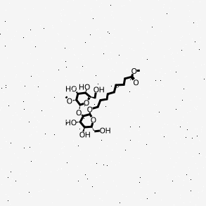 COC(=O)CCCCCCCCO[C@H]1O[C@H](CO)[C@@H](O)[C@H](O)[C@H]1O[C@H]1O[C@H](CO)[C@@H](O)[C@H](O)[C@H]1OC